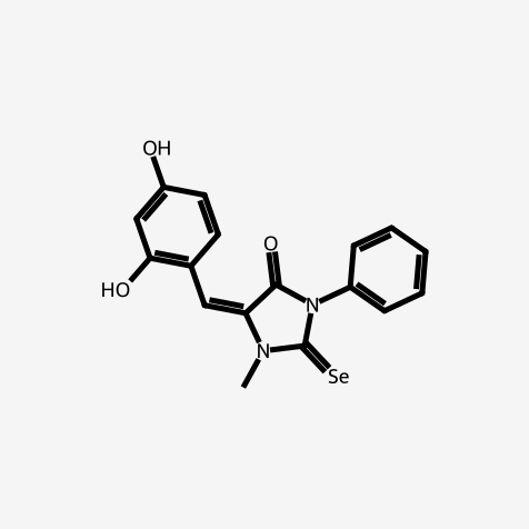 CN1C(=[Se])N(c2ccccc2)C(=O)C1=Cc1ccc(O)cc1O